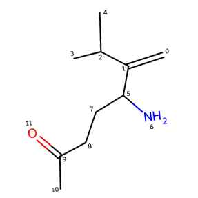 C=C(C(C)C)C(N)CCC(C)=O